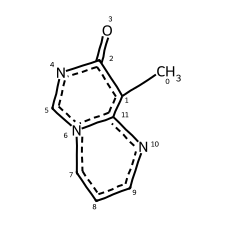 Cc1c(=O)ncn2cccnc12